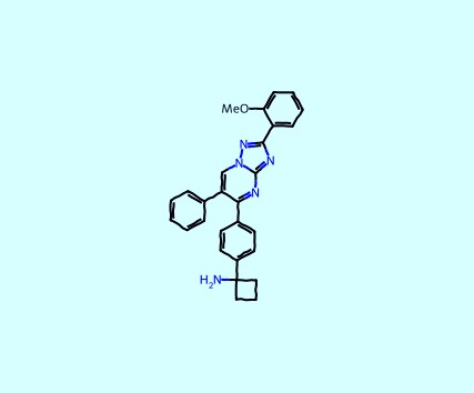 COc1ccccc1-c1nc2nc(-c3ccc(C4(N)CCC4)cc3)c(-c3ccccc3)cn2n1